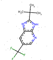 CC(C)(C)c1nc2cc(C(F)(F)F)cnc2[nH]1